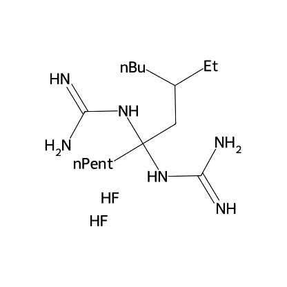 CCCCCC(CC(CC)CCCC)(NC(=N)N)NC(=N)N.F.F